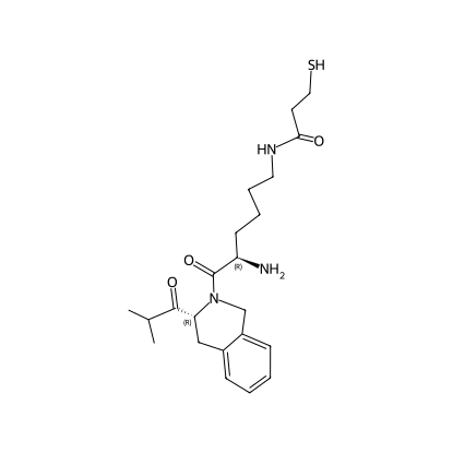 CC(C)C(=O)[C@H]1Cc2ccccc2CN1C(=O)[C@H](N)CCCCNC(=O)CCS